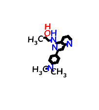 CC(O)CNc1nc(-c2ccc(N(C)C)cc2)cc2ncccc12